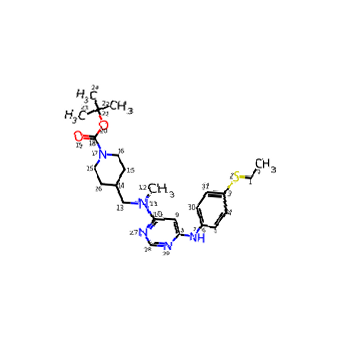 CCSc1ccc(Nc2cc(N(C)CC3CCN(C(=O)OC(C)(C)C)CC3)ncn2)cc1